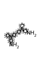 Nc1ccc(N(C2=CC=CCC2)c2ccc(-c3ccc(N(c4ccccc4)c4ccc(N)cc4)cc3)cc2)cc1